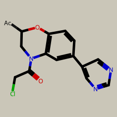 CC(=O)C1CN(C(=O)CCl)c2cc(-c3cncnc3)ccc2O1